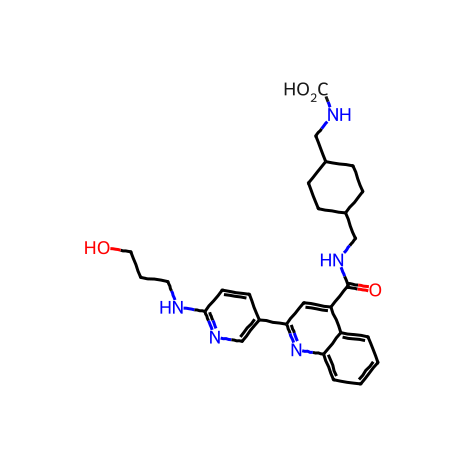 O=C(O)NCC1CCC(CNC(=O)c2cc(-c3ccc(NCCCO)nc3)nc3ccccc23)CC1